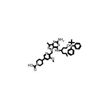 CCCC(CCO[Si](c1ccccc1)(c1ccccc1)C(C)(C)C)Nc1nc(N)nc2c(C)nn(Cc3ncc(C4CCN(C(=O)O)CC4)cc3OC)c12